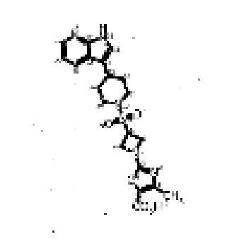 Cc1nc(N2CC(S(=O)(=O)N3CCC(c4c[nH]c5ncccc45)CC3)C2)oc1C(=O)O